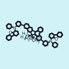 CC(C)(C)C1(C(C)(C)C)c2cc3cc(-c4cccc(N(c5ccccc5)c5cccc6c5oc5ccccc56)c4)ccc3cc2-c2c1c1ccc(-c3cccc(N(c4ccccc4)c4cccc5c4oc4ccccc45)c3)cc1c1ccccc21